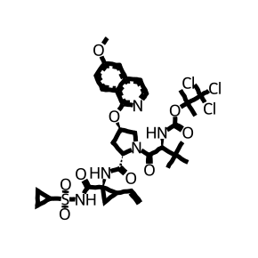 C=CC1C[C@]1(NC(=O)[C@@H]1C[C@@H](Oc2nccc3cc(OC)ccc23)CN1C(=O)[C@@H](NC(=O)OC(C)(C)C(Cl)(Cl)Cl)C(C)(C)C)C(=O)NS(=O)(=O)C1CC1